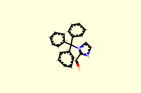 O=[C]c1nccn1C(c1ccccc1)(c1ccccc1)c1ccccc1